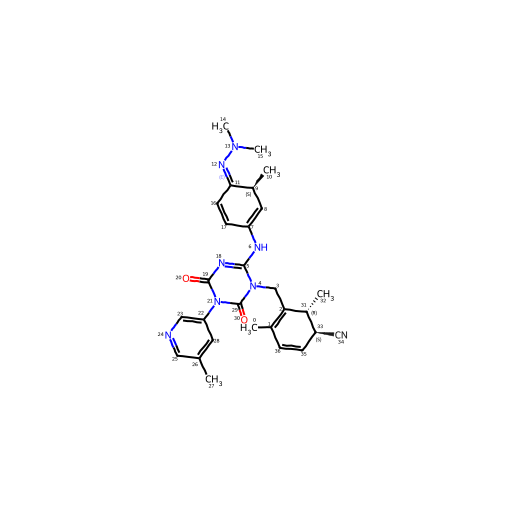 CC1=C(Cn2c(NC3=C[C@H](C)/C(=N\N(C)C)C=C3)nc(=O)n(-c3cncc(C)c3)c2=O)[C@H](C)[C@@H](C#N)C=C1